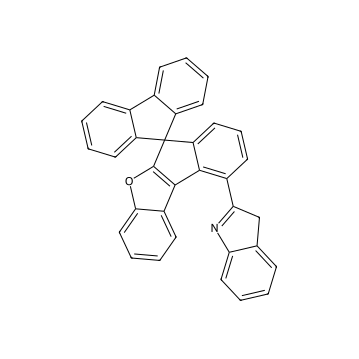 c1ccc2c(c1)CC(c1cccc3c1-c1c(oc4ccccc14)C31c3ccccc3-c3ccccc31)=N2